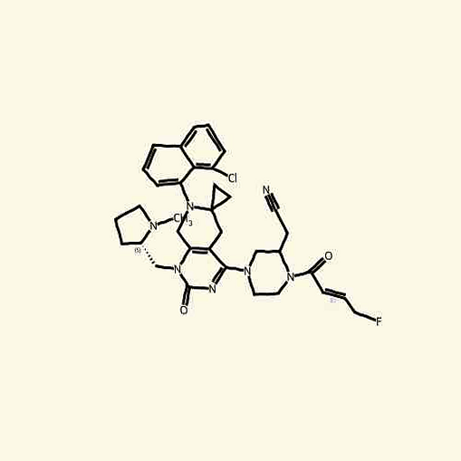 CN1CCC[C@H]1Cn1c2c(c(N3CCN(C(=O)/C=C/CF)C(CC#N)C3)nc1=O)CC1(CC1)N(c1cccc3cccc(Cl)c13)C2